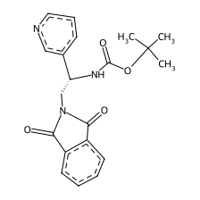 CC(C)(C)OC(=O)N[C@H](CN1C(=O)c2ccccc2C1=O)c1cccnc1